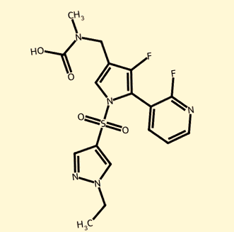 CCn1cc(S(=O)(=O)n2cc(CN(C)C(=O)O)c(F)c2-c2cccnc2F)cn1